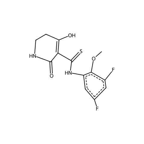 COc1c(F)cc(F)cc1NC(=S)C1=C(O)CCNC1=O